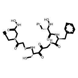 C#CCN(CC(=O)NO)C(=O)CSN[C@@H](CS)C(=O)C(=O)CNC(=O)[C@H](Cc1ccccc1)NC(=O)[C@H](CC(C)C)NO